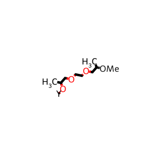 COC(C)COCCOCC(C)[O][Y]